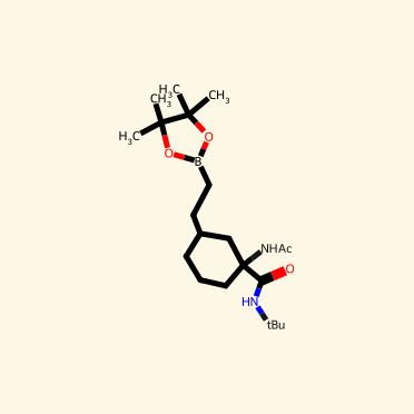 CC(=O)NC1(C(=O)NC(C)(C)C)CCCC(CCB2OC(C)(C)C(C)(C)O2)C1